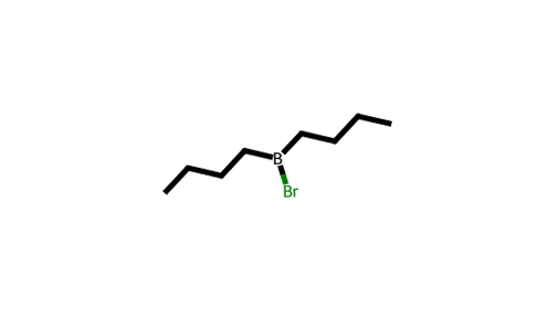 CCCCB(Br)CCCC